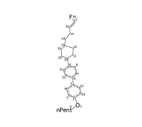 CCCCCOc1ccc(-c2ccc(C3CCC(CC/C=C/F)CC3)cc2)cc1